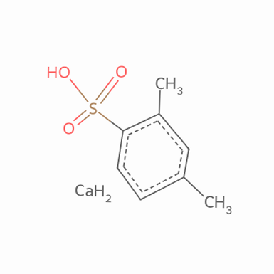 Cc1ccc(S(=O)(=O)O)c(C)c1.[CaH2]